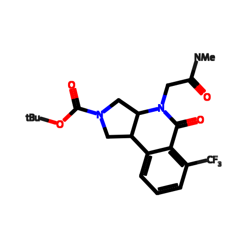 CNC(=O)CN1C(=O)c2c(cccc2C(F)(F)F)C2CN(C(=O)OC(C)(C)C)CC21